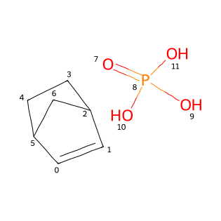 C1=CC2CCC1C2.O=P(O)(O)O